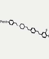 CCCCCc1ccc(CC[C@H]2CC[C@H](CCc3ccc(CCc4ccc(Cl)c(F)c4)cc3)CC2)cc1